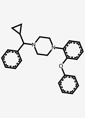 c1ccc(Oc2ccccc2N2CCN(C(c3ccccc3)C3CC3)CC2)cc1